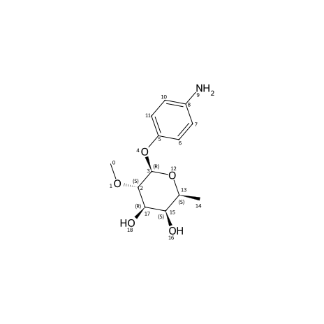 CO[C@@H]1[C@@H](Oc2ccc(N)cc2)O[C@@H](C)[C@@H](O)[C@H]1O